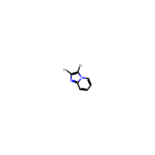 CCc1nc2ccccn2c1CC